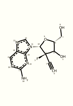 C#C[C@@]1(F)C(O)[C@@H](CO)O[C@H]1n1cnc2cnc(N)nc21